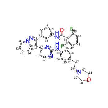 O=C(Nc1cccc(-c2nn3ccccc3c2-c2ccnc(Nc3ccc(CCN4CCOCC4)cc3)n2)c1)c1c(F)cccc1F